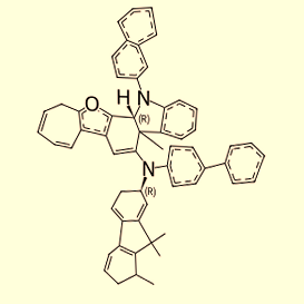 CC1CC=CC2=C1C(C)(C)C1=C[C@H](N(C3=Cc4c(oc5c4C=CC=CC5)[C@@H]4N(c5ccc6ccccc6c5)c5ccccc5C34C)c3ccc(-c4ccccc4)cc3)CC=C12